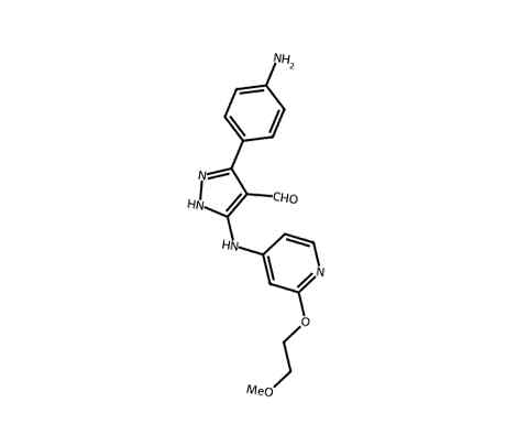 COCCOc1cc(Nc2[nH]nc(-c3ccc(N)cc3)c2C=O)ccn1